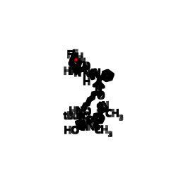 Cc1ncsc1-c1ccc(C(C)NC(=O)[C@@H]2C[C@@H](O)CN2C(=O)C(NC(=O)CCCCCC(=O)N2CC(C(c3ccccc3)n3cc(NC(=O)c4n[nH]c5c4C[C@@H]4C(F)(F)[C@]4(C)C5)cn3)C2)C(C)(C)C)cc1